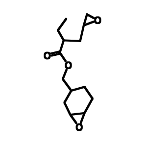 CCC(CC1CO1)C(=O)OCC1CCC2OC2C1